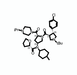 CC1CCC(N(C(=O)[C@@H]2CCCO2)[C@H]2C[C@@H](C(=O)N3CCN(C(C)C)CC3)N(C(=O)[C@@H]3CN(C(C)(C)C)C[C@H]3c3ccc(Cl)cc3)C2)CC1